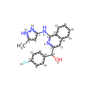 Cc1cc(Nc2nc(C(O)c3ccc(F)cc3)cc3ccccc23)n[nH]1